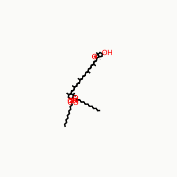 CCCCCCCCCCCC(=O)OC1(OC(=O)CCCCCCCCCCC)[C@H](O)CC(C)=C(/C=C/C(C)=C/C=C/C(C)=C/C=C/C=C(C)/C=C/C=C(C)/C=C/C(=O)[C@]2(C)C[C@@H](O)CC2(C)C)C1(C)C